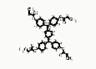 C=CC(=O)Oc1ccc(C(c2ccc(OC(=O)C=C)cc2)c2ccc(C(c3ccc(OC(=O)C=C)cc3)c3ccc(OC(=O)C=C)cc3)cc2)cc1